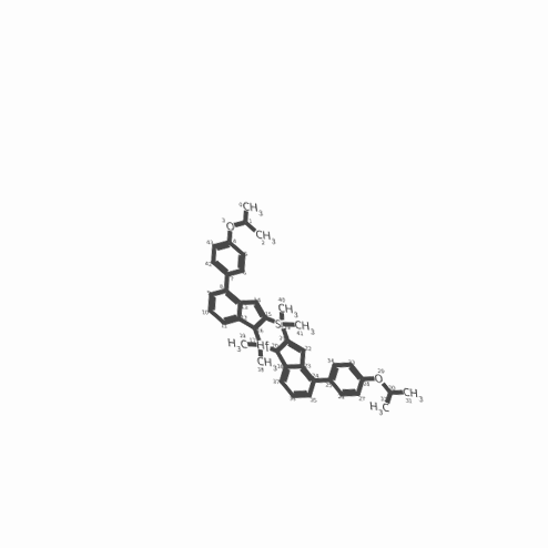 CC(C)Oc1ccc(-c2cccc3c2C=C2[CH]3[Hf]([CH3])([CH3])[CH]3C(=Cc4c(-c5ccc(OC(C)C)cc5)cccc43)[Si]2(C)C)cc1